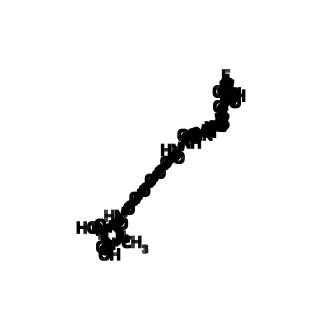 CCN1CCN(CC(=O)O)CCN(CC(=O)O)CCN(CC(=O)NCCOCCOCCOCCOCCOCCOCCC(=O)NCCNC(=O)c2ccc(-c3cn(Cc4cccc5c4CN(C(=O)C[C@@H]4C[C@@H](C(=O)N6C[C@@H](F)C[C@H]6C#N)NC4=O)C5)nn3)cc2)CC1